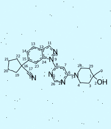 CC1(O)CCN(c2cc(-n3ncc4ccc(C5(C#N)CCCC5)cc43)ncn2)CC1